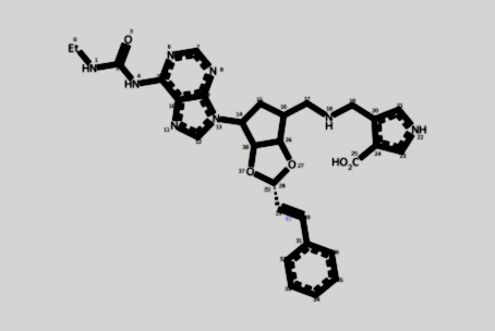 CCNC(=O)Nc1ncnc2c1ncn2C1CC(CNCc2c[nH]cc2C(=O)O)C2O[C@H](/C=C/c3ccccc3)OC21